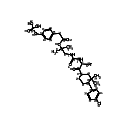 CC(C)C(NC(=O)NCC(C)(C)OC(=O)Cc1ccc(OP(=O)(O)O)cc1)C(=O)N1CCC(c2ccc(Cl)cc2)C(C)(C)C1